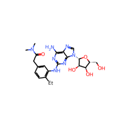 CCc1ccc(CC(=O)N(C)C)cc1Nc1nc(N)c2ncn([C@@H]3O[C@H](CO)[C@@H](O)[C@H]3O)c2n1